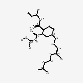 CCC(C)OC(=O)C1CCC(CCCC(C)CCCC(C)C)CC1C(=O)OC(C)CC